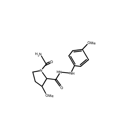 COc1ccc(NNC(=O)C2C(OC)CCN2C(N)=O)cc1